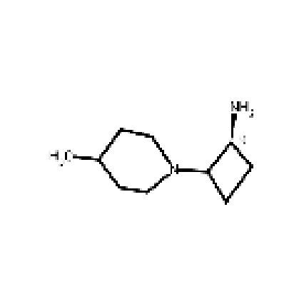 CC1CCN(C2CC[C@@H]2N)CC1